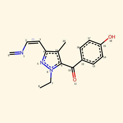 C=N/C=C\c1nn(CC)c(C(=O)c2ccc(O)cc2)c1C